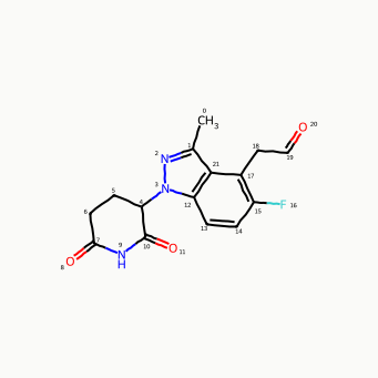 Cc1nn(C2CCC(=O)NC2=O)c2ccc(F)c(CC=O)c12